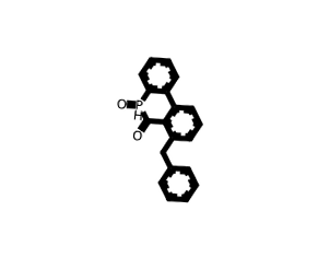 O=C1c2c(Cc3ccccc3)cccc2-c2ccccc2[PH]1=O